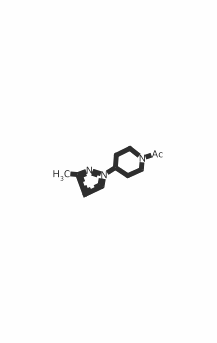 CC(=O)N1CCC(n2ccc(C)n2)CC1